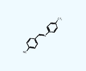 Cc1ccc(/N=C/c2ccc(C#N)cc2)cc1